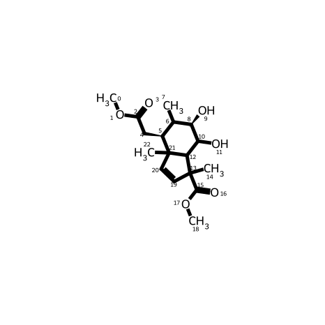 COC(=O)C[C@H]1C(C)[C@@H](O)C(O)C2C(C)(C(=O)OC)C=CC21C